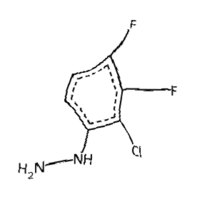 NNc1ccc(F)c(F)c1Cl